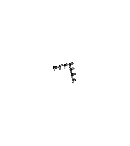 [Al+3].[Al+3].[O-2].[O-2].[O-2].[Rh].[Rh]